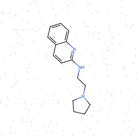 c1ccc2nc(NCCN3CCCC3)ccc2c1